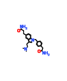 CN(C)CCc1cn(Cc2ccc(CC(N)=O)cc2)c2ccc(CCC(N)=O)cc12